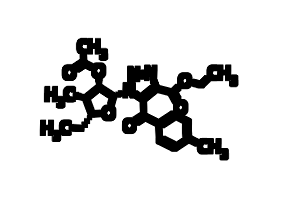 CCOC(=O)c1nnn([C@@H]2O[C@H](CC)[C@@H](C)[C@H]2OC(C)=O)c1C(=O)c1ccc(C)cc1